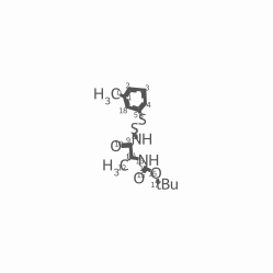 Cc1cccc(SSNC(=O)[C@@H](C)NC(=O)OC(C)(C)C)c1